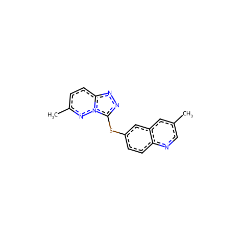 Cc1cnc2ccc(Sc3nnc4ccc(C)nn34)cc2c1